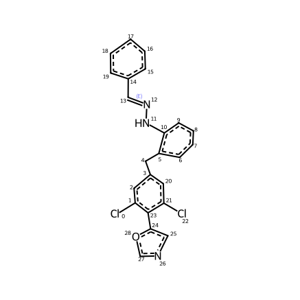 Clc1cc(Cc2ccccc2N/N=C/c2ccccc2)cc(Cl)c1-c1cnco1